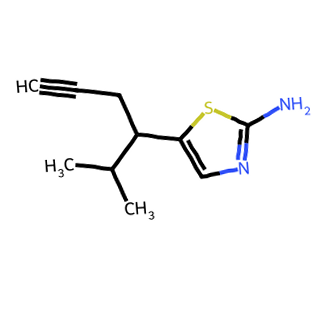 C#CCC(c1cnc(N)s1)C(C)C